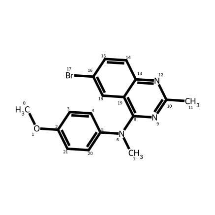 COc1ccc(N(C)c2nc(C)nc3ccc(Br)cc23)cc1